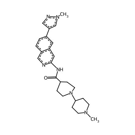 CN1CCC(N2CCC(C(=O)Nc3cc4cc(-c5cnn(C)c5)ccc4cn3)CC2)CC1